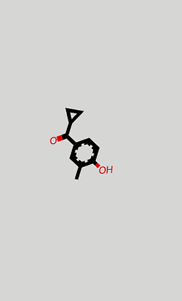 Cc1cc(C(=O)C2CC2)ccc1O